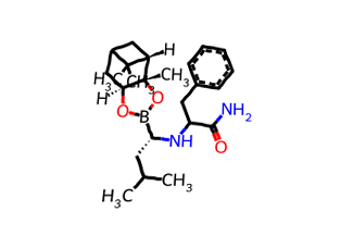 CC(C)C[C@@H](NC(Cc1ccccc1)C(N)=O)B1O[C@H]2CC3C[C@@H](C3(C)C)[C@]2(C)O1